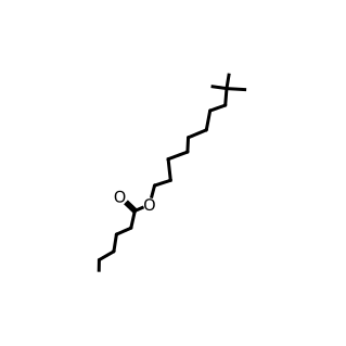 CCCCCC(=O)OCCCCCCCCC(C)(C)C